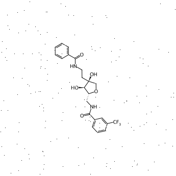 O=C(NCC[C@]1(O)CO[C@H](CNC(=O)c2cccc(C(F)(F)F)c2)[C@H]1O)c1ccccc1